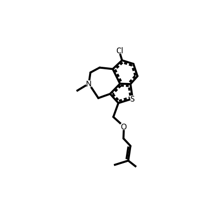 CC(C)=CCOCc1sc2ccc(Cl)c3c2c1CN(C)CC3